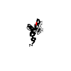 Cc1noc(-c2ccc(-c3ccc(CC#N)cc3)cc2)c1[C@@H](Cc1ccccc1Cl)NC(=O)O